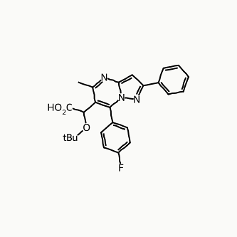 Cc1nc2cc(-c3ccccc3)nn2c(-c2ccc(F)cc2)c1C(OC(C)(C)C)C(=O)O